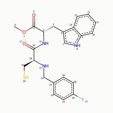 COC(=O)[C@H](Cc1c[nH]c2ccccc12)NC(=O)[C@H](CS)NCc1ccc(F)cc1